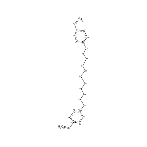 C=Cc1cc[n+](CCCCCCCCCCC[n+]2ccc(C=C)cc2)cc1